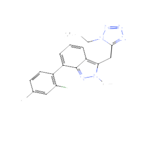 CSCn1nnnc1Cc1c2cccc(-c3ccc(C)cc3Cl)c2nn1C